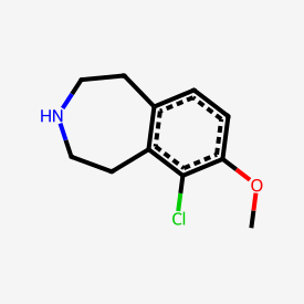 COc1ccc2c(c1Cl)CCNCC2